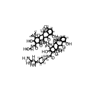 CN(C)[C@@H]1C(O)=C(C(=O)NCN2CCN(C(=N)NC(=N)N)CC2)C(=O)[C@@]2(O)C(O)=C3C(=O)c4c(O)cccc4[C@@](C)(O)[C@H]3C[C@@H]12.CN(C)[C@@H]1C(O)=C(C(=O)NCO)C(=O)[C@@]2(O)C(O)=C3C(=O)c4c(O)ccc(Cl)c4[C@@](C)(O)C3C[C@@H]12